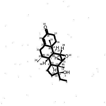 CC[C@]1(O)CC[C@H]2[C@H]3[C@H]([C@@H]4O[C@@H]4[C@@]21C)[C@@]1(C)CCC(=O)C=C1C[C@H]3C